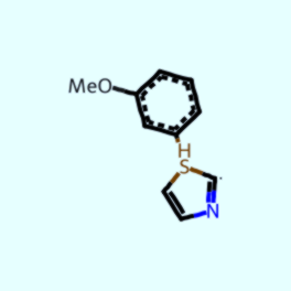 COc1cccc([SH]2[C]=NC=C2)c1